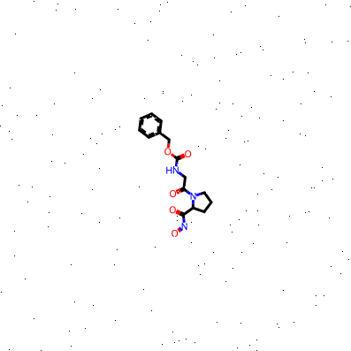 O=NC(=O)C1CCCN1C(=O)CNC(=O)OCc1ccccc1